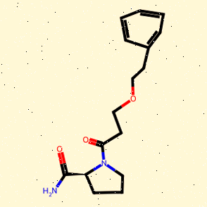 NC(=O)[C@@H]1CCCN1C(=O)CCOCCc1ccccc1